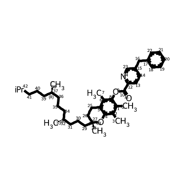 Cc1c(C)c2c(c(C)c1OC(=O)c1ccc(Cc3ccccc3)cn1)CC[C@@](C)(CCC[C@H](C)CCC[C@H](C)CCCC(C)C)O2